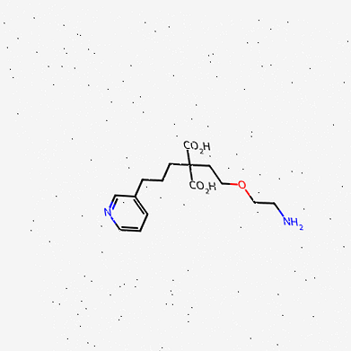 NCCOCCC(CCCc1cccnc1)(C(=O)O)C(=O)O